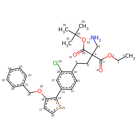 CCOC(=O)C(CN)(CCc1ccc(-c2sccc2OCc2ccccc2)cc1Cl)C(=O)OC(C)(C)C